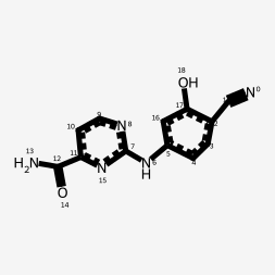 N#Cc1ccc(Nc2nccc(C(N)=O)n2)cc1O